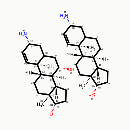 C[C@]12CC[C@H]3[C@@H](CCC4C[C@@H](N)C=C[C@@]43C)[C@@H]1CC[C@@H]2O.C[C@]12CC[C@H]3[C@@H]([C@@H](O)CC4C[C@@H](N)C=C[C@@]43C)[C@@H]1CC[C@@H]2O